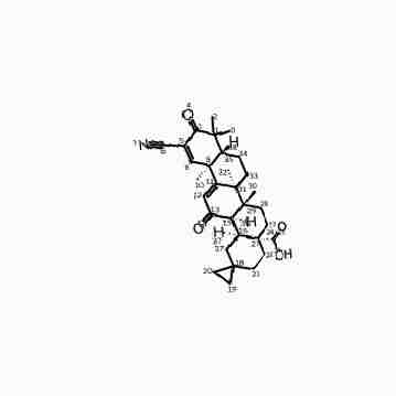 CC1(C)C(=O)C(C#N)=C[C@]2(C)C3=CC(=O)[C@@H]4[C@@H]5CC6(CC6)CC[C@]5(C(=O)O)CC[C@@]4(C)[C@]3(C)CC[C@@H]12